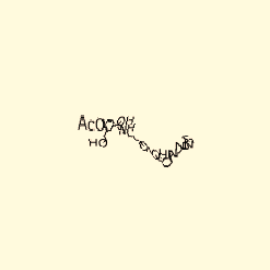 CC(=O)Oc1ccc([C@@H](O)CNCCCCCCOCCOCc2cccc(NCc3cn4c(n3)SCC4)c2)cc1CCO